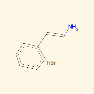 Br.NC=Cc1ccccc1